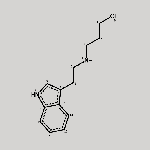 OCCCNCCc1c[nH]c2ccccc12